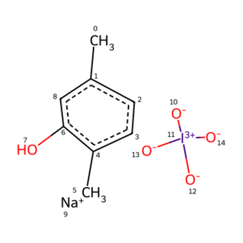 Cc1ccc(C)c(O)c1.[Na+].[O-][I+3]([O-])([O-])[O-]